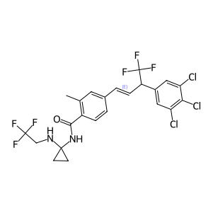 Cc1cc(/C=C/C(c2cc(Cl)c(Cl)c(Cl)c2)C(F)(F)F)ccc1C(=O)NC1(NCC(F)(F)F)CC1